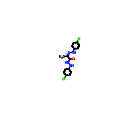 C/C(=N/Nc1ccc(Cl)cc1)C(=O)NNc1ccc(Cl)cc1